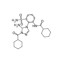 NC1N(C(=O)C2CCCCC2)N=CN1c1c(NC(=O)C2CCCCC2)cccc1S(N)(=O)=O